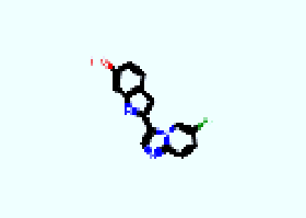 Oc1ccc2c(c1)N=C(c1cnc3ccc(Br)cn13)C2